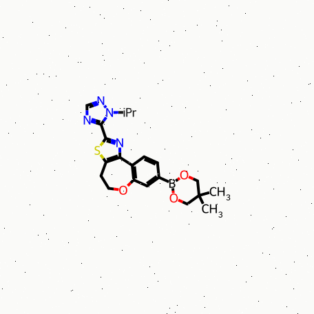 CC(C)n1ncnc1-c1nc2c(s1)CCOc1cc(B3OCC(C)(C)CO3)ccc1-2